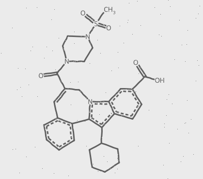 CS(=O)(=O)N1CCN(C(=O)C2=Cc3ccccc3-c3c(C4CCCCC4)c4ccc(C(=O)O)cc4n3C2)CC1